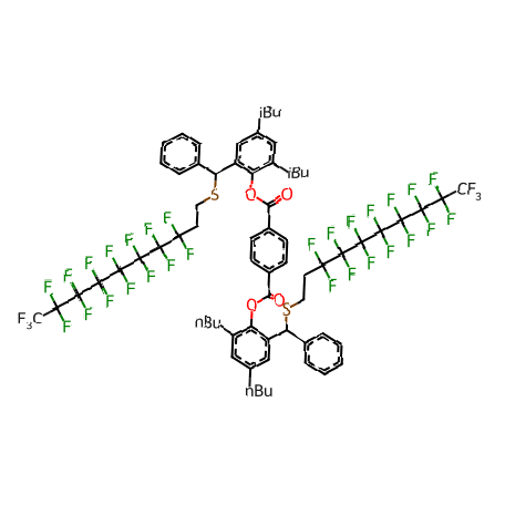 CCCCc1cc(CCCC)c(OC(=O)c2ccc(C(=O)Oc3c(C(C)CC)cc(C(C)CC)cc3C(SCCC(F)(F)C(F)(F)C(F)(F)C(F)(F)C(F)(F)C(F)(F)C(F)(F)C(F)(F)F)c3ccccc3)cc2)c(C(SCCC(F)(F)C(F)(F)C(F)(F)C(F)(F)C(F)(F)C(F)(F)C(F)(F)C(F)(F)F)c2ccccc2)c1